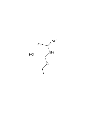 CCOCNC(=N)S.Cl